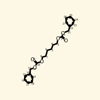 O=C(OCCCCCCOC(=O)OCc1ccccc1)OCc1ccccc1